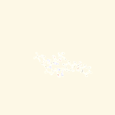 CC(C)(C)OC(=O)/N=C(/NC(=O)OC(C)(C)C)N1CCC[C@H]1c1nc(-c2ccc(CS(=O)(=O)c3ccccc3)cc2)no1